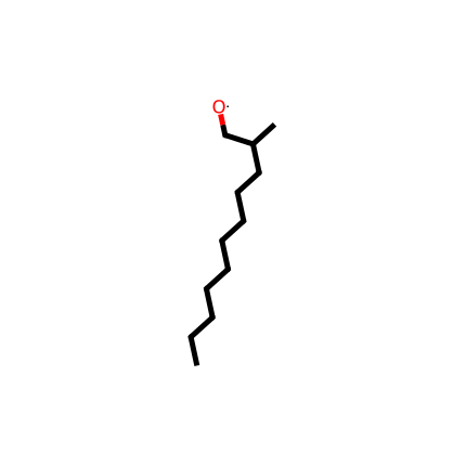 CCCCCCCCCC(C)C[O]